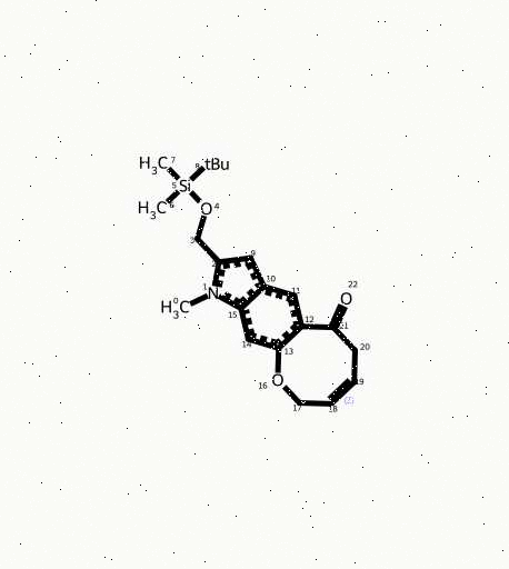 Cn1c(CO[Si](C)(C)C(C)(C)C)cc2cc3c(cc21)OC/C=C\CC3=O